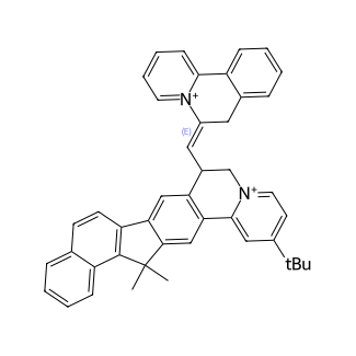 CC(C)(C)c1cc[n+]2c(c1)-c1cc3c(cc1C(/C=C1\Cc4ccccc4-c4cccc[n+]41)C2)-c1ccc2ccccc2c1C3(C)C